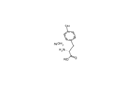 N[C@H](Cc1ccc(O)cc1)C(=O)O.O.[Ni]